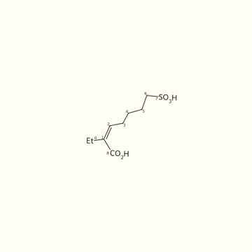 CCC(=CCCCCS(=O)(=O)O)C(=O)O